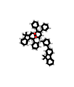 CC1(C)c2ccccc2-c2ccc(-c3cccc(N(c4ccc(-c5ccccc5)c(-c5ccccc5)c4)c4ccccc4-c4cccc5c4-c4ccccc4C5(C)C)c3)cc21